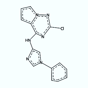 Clc1nc(Nc2cn(-c3ccccc3)cn2)c2cccn2n1